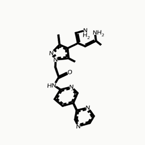 C/C(N)=C/C(=C\N)c1c(C)nn(CC(=O)Nc2ccc(-c3cnccn3)cn2)c1C